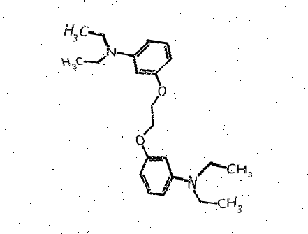 CCN(CC)c1cccc(OCCOc2cccc(N(CC)CC)c2)c1